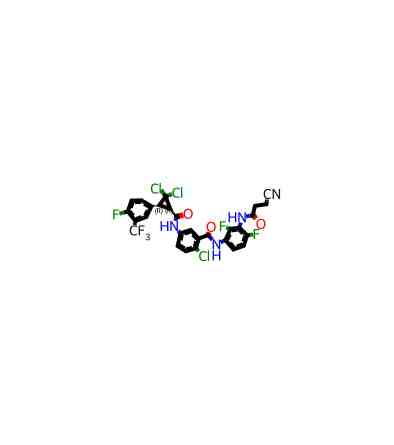 N#CCCC(=O)Nc1c(F)ccc(NC(=O)c2cc(NC(=O)[C@H]3[C@H](c4ccc(F)c(C(F)(F)F)c4)C3(Cl)Cl)ccc2Cl)c1F